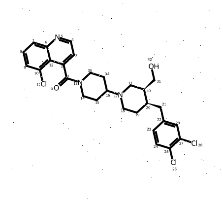 O=C(c1ccnc2cccc(Cl)c12)N1CCC(N2CC[C@H](Cc3ccc(Cl)c(Cl)c3)[C@H](CO)C2)CC1